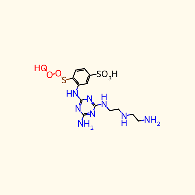 NCCNCCNc1nc(N)nc(Nc2cc(S(=O)(=O)O)ccc2SOOO)n1